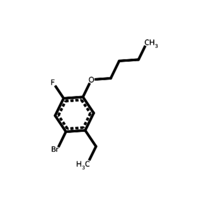 CCCCOc1cc(CC)c(Br)cc1F